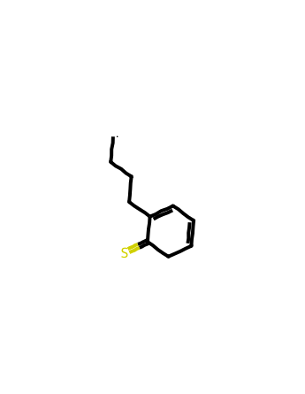 [CH2]CCCC1=CC=CCC1=S